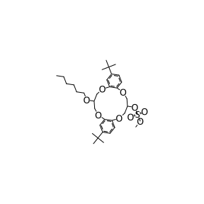 CCCCCCOC1COc2cc(C(C)(C)C)ccc2OCC(OS(=O)(=O)OC)COc2ccc(C(C)(C)C)cc2OC1